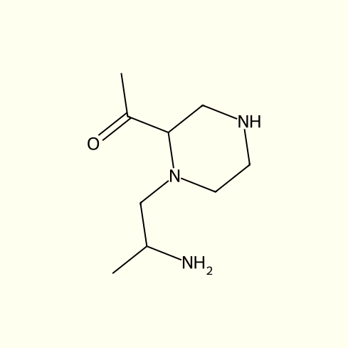 CC(=O)C1CNCCN1CC(C)N